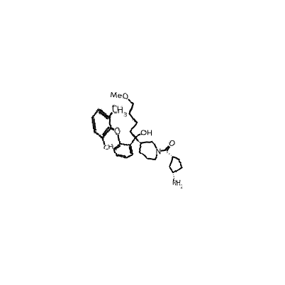 COCCCCC(O)(c1ccccc1Oc1c(C)cccc1C)[C@@H]1CCCN(C(=O)[C@@H]2CC[C@H](N)C2)C1